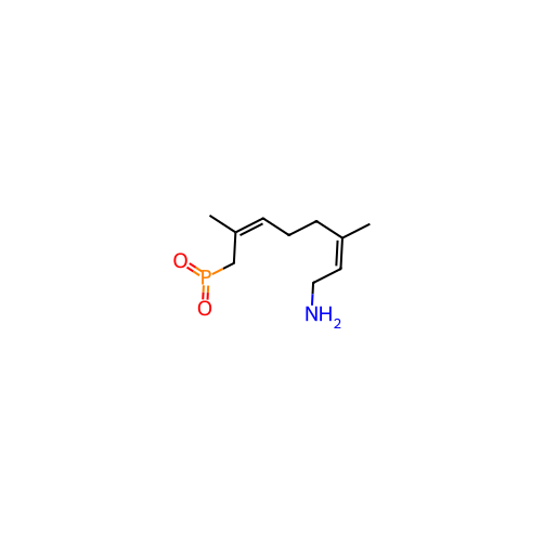 CC(=CCN)CCC=C(C)CP(=O)=O